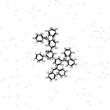 c1ccc(-c2nc(-c3cc(-c4cc5ccccc5c5ccccc45)cc(-n4c5ccccc5c5ccccc54)c3)cc(-c3ccc4c5ccccc5n(-c5ccccc5)c4c3)n2)cc1